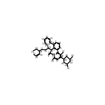 C=C(C1c2ccccc2-c2cccc[n+]2C1CCC(/C=C\C)CC)[n+]1cc(C)c(C2CC(C)CC(C)C2)cc1C